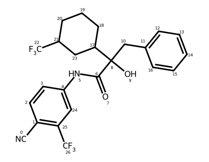 N#Cc1ccc(NC(=O)C(O)(Cc2ccccc2)C2CCCC(C(F)(F)F)C2)cc1C(F)(F)F